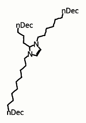 CCCCCCCCCCCCCCCCCCCN1C=CN(CCCCCCCCCCCCCCCC)C1CCCCCCCCCCCCC